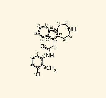 Cc1c(Cl)cccc1NC(=O)Cc1c2n(c3ccccc13)CCNCC2